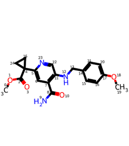 COC(=O)C1(c2cc(C(N)=O)c(NCc3ccc(OC)cc3)cn2)CC1